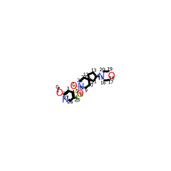 COc1cc(S(=O)(=O)N2CCC3(CCC(N4CCOCC4)C3)CC2)c(F)cn1